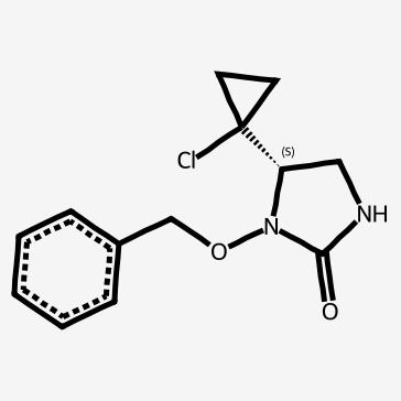 O=C1NC[C@@H](C2(Cl)CC2)N1OCc1ccccc1